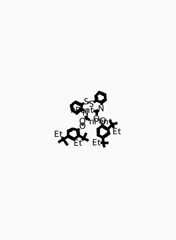 CCCCCC(=Nc1ccccc1SSc1ccccc1N=C(CCCCC)OOc1ccc(C(C)(C)CC)cc1C(C)(C)CC)OOc1ccc(C(C)(C)CC)cc1C(C)(C)CC